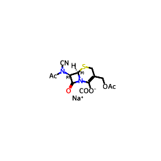 CC(=O)OCC1=C(C(=O)[O-])N2C(=O)[C@@H](N(C#N)C(C)=O)[C@H]2SC1.[Na+]